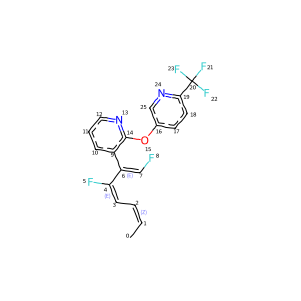 C\C=C/C=C(F)\C(=C\F)c1cccnc1Oc1ccc(C(F)(F)F)nc1